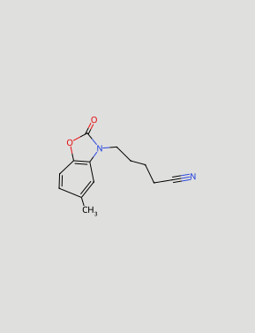 Cc1ccc2oc(=O)n(CCCCC#N)c2c1